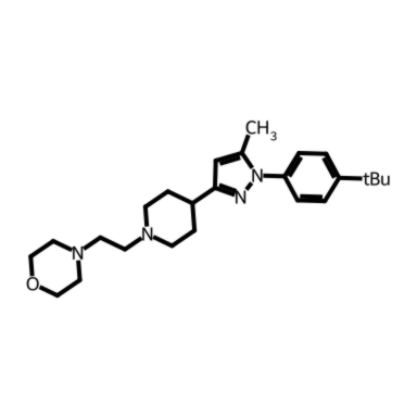 Cc1cc(C2CCN(CCN3CCOCC3)CC2)nn1-c1ccc(C(C)(C)C)cc1